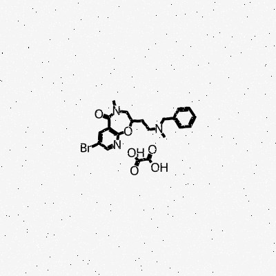 CN(CCC1CN(C)C(=O)c2cc(Br)cnc2O1)Cc1ccccc1.O=C(O)C(=O)O